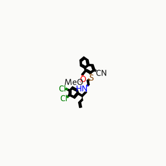 C=CC[C@H](CNCCSc1c(C#N)cc2ccccc2c1COOC)c1ccc(Cl)c(Cl)c1